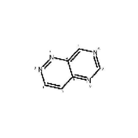 [c]1cnnc2cncnc12